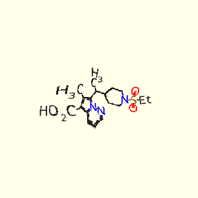 CCS(=O)(=O)N1CCC(C(C)c2c(C)c(C(=O)O)c3cccnn23)CC1